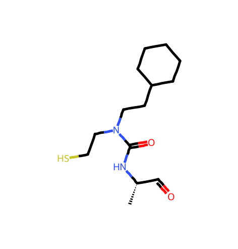 C[C@@H](C=O)NC(=O)N(CCS)CCC1CCCCC1